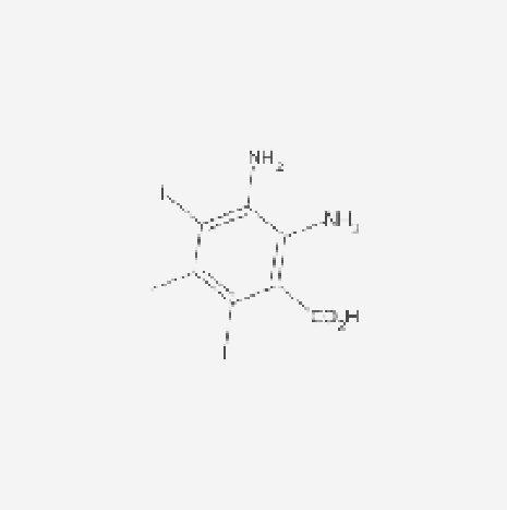 Nc1c(N)c(C(=O)O)c(I)c(I)c1I